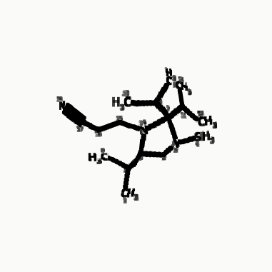 CC(C)C1CN([SiH3])C(C(C)C)(C(C)C)N1CCC#N